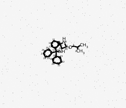 CC(C)CO[C@H]1NC(=O)[C@H]1NC(c1ccccc1)(c1ccccc1)c1ccccc1